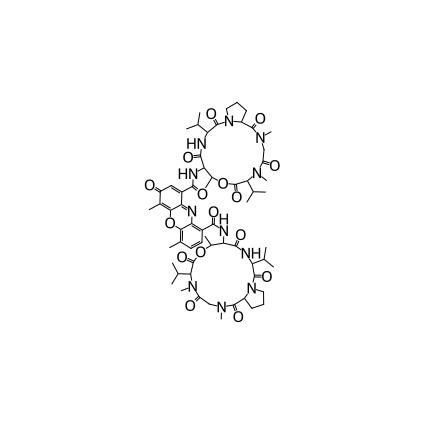 Cc1c2oc3c(C)ccc(C(=O)NC4C(=O)NC(C(C)C)C(=O)N5CCCC5C(=O)N(C)CC(=O)N(C)C(C(C)C)C(=O)OC4C)c3nc-2c(C(=O)NC2C(=O)NC(C(C)C)C(=O)N3CCCC3C(=O)N(C)CC(=O)N(C)C(C(C)C)C(=O)OC2C)cc1=O